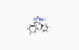 C1=NC(c2ccccc2)C(c2ccccc2)N1